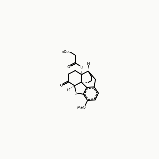 CCCCCCCCCCCC(=O)O[C@@]12CCC(=O)[C@@H]3Oc4c(OC)ccc5c4[C@@]31CCC[C@@H]2C5